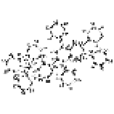 c1ccc(-c2nc3c(-c4ccccc4)cc(-c4ccc5c(c4)C4(c6ccccc6-c6ccccc64)c4ccccc4-5)c(-c4ccccc4)c3nc2-c2ccccc2)cc1